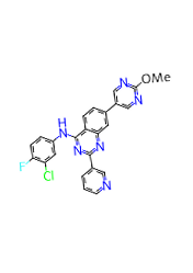 COc1ncc(-c2ccc3c(Nc4ccc(F)c(Cl)c4)nc(-c4cccnc4)nc3c2)cn1